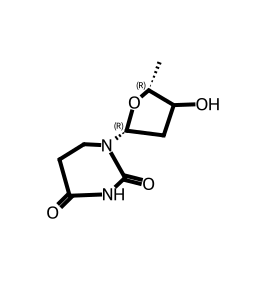 C[C@H]1O[C@@H](N2CCC(=O)NC2=O)CC1O